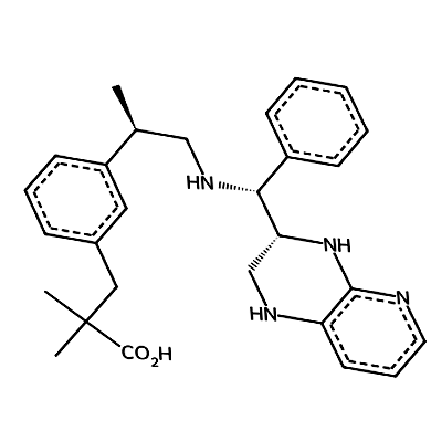 C[C@@H](CN[C@H](c1ccccc1)[C@H]1CNc2cccnc2N1)c1cccc(CC(C)(C)C(=O)O)c1